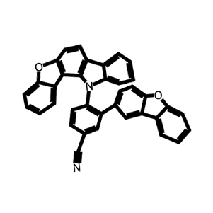 N#Cc1ccc(-n2c3ccccc3c3ccc4oc5ccccc5c4c32)c(-c2ccc3oc4ccccc4c3c2)c1